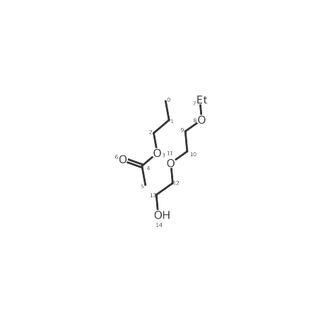 CCCOC(C)=O.CCOCCOCCO